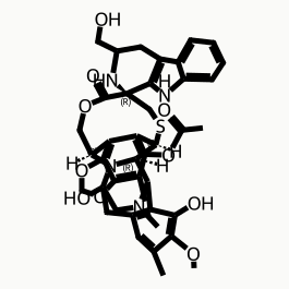 COc1c(C)cc2c(c1O)C1[C@@H]3[C@@H]4SC[C@]5(NC(CO)Cc6c5[nH]c5ccccc65)C(=O)OC[C@@H](c5c6c(c(C)c(OC(C)=O)c54)OCO6)N3C(O)(C2)CN1C